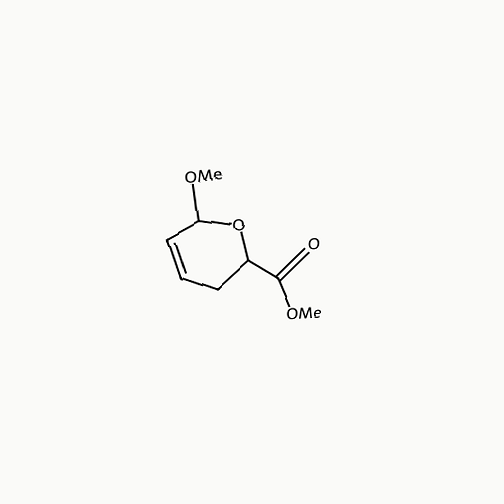 COC(=O)C1CC=CC(OC)O1